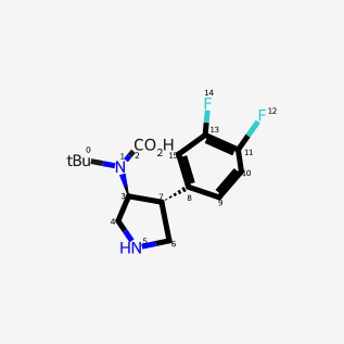 CC(C)(C)N(C(=O)O)[C@@H]1CNC[C@H]1c1ccc(F)c(F)c1